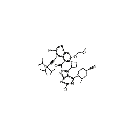 COCOc1cc(C(=O)c2nc3nc(Cl)nc(N4CCC(C#N)CC4C)c3n2C2CCC2)c2c(C#C[Si](C(C)C)(C(C)C)C(C)C)c(F)ccc2c1